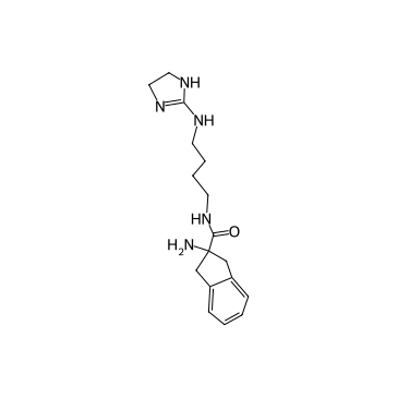 NC1(C(=O)NCCCCNC2=NCCN2)Cc2ccccc2C1